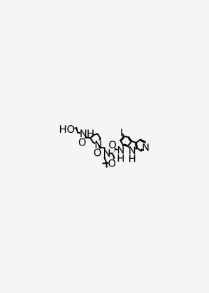 CC1(C)CN(CC(=O)N2CCCC(C(=O)NCCO)C2)[C@H](C(=O)Nc2cc(I)cc3c2[nH]c2cnccc23)CO1